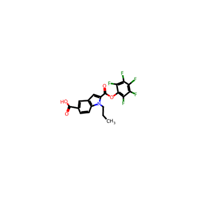 CCCn1c(C(=O)Oc2c(F)c(F)c(F)c(F)c2F)cc2cc(C(=O)O)ccc21